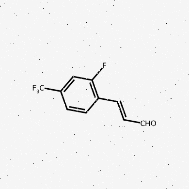 O=C/C=C/c1ccc(C(F)(F)F)cc1F